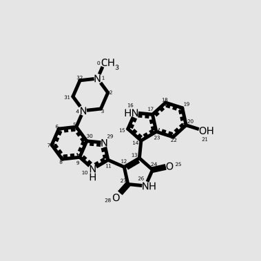 CN1CCN(c2cccc3[nH]c(C4=C(c5c[nH]c6ccc(O)cc56)C(=O)NC4=O)nc23)CC1